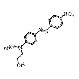 CCCCCCN(CCO)c1ccc(N=Nc2ccc([N+](=O)[O-])cc2)cc1